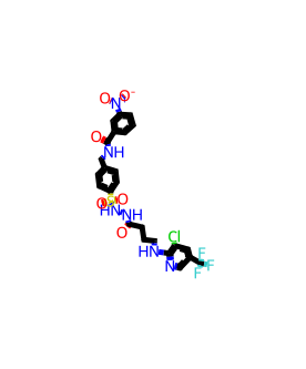 O=C(CCCNc1ncc(C(F)(F)F)cc1Cl)NNS(=O)(=O)c1ccc(CNC(=O)c2cccc([N+](=O)[O-])c2)cc1